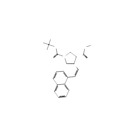 COC(=O)[C@H]1CN(C(=O)OC(C)(C)C)C[C@@H]1/C=C\c1cccc2ccccc12